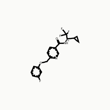 O=C(N[C@H](C1CC1)C(F)(F)F)c1ccc(COc2cccc(F)c2)nc1